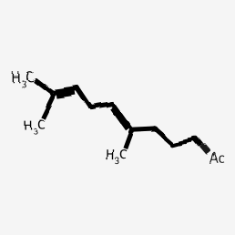 CC(=O)CCC/C(C)=C/CC=C(C)C